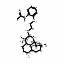 CC(=O)Nc1ccccc1OCCO[C@H]1O[C@@H]2O[C@@]3(C)CCC4[C@H](C)CC[C@@H]([C@H]1C)[C@]42OO3